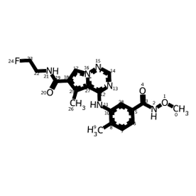 CONC(=O)c1ccc(C)c(Nc2ncnn3cc(C(=O)NCCF)c(C)c23)c1